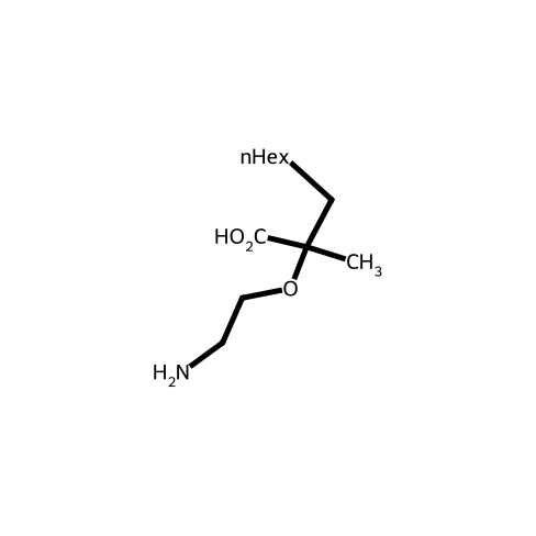 CCCCCCCC(C)(OCCN)C(=O)O